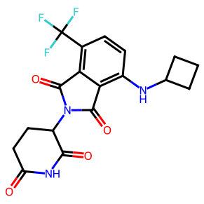 O=C1CCC(N2C(=O)c3c(NC4CCC4)ccc(C(F)(F)F)c3C2=O)C(=O)N1